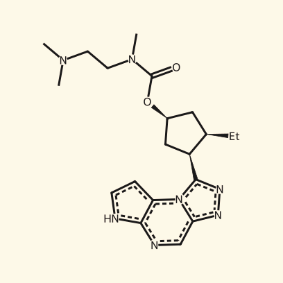 CC[C@@H]1C[C@H](OC(=O)N(C)CCN(C)C)C[C@@H]1c1nnc2cnc3[nH]ccc3n12